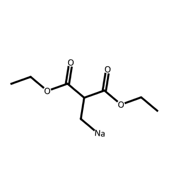 CCOC(=O)C([CH2][Na])C(=O)OCC